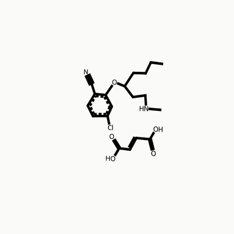 CCCCC(CCNC)Oc1cc(Cl)ccc1C#N.O=C(O)C=CC(=O)O